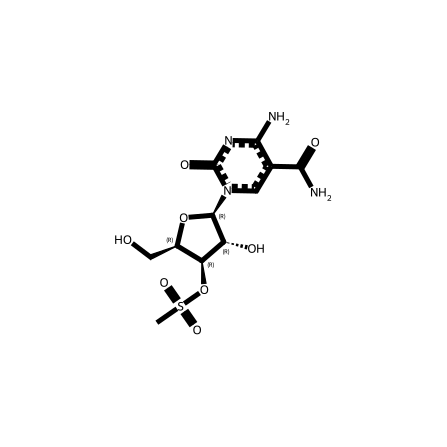 CS(=O)(=O)O[C@@H]1[C@@H](O)[C@H](n2cc(C(N)=O)c(N)nc2=O)O[C@@H]1CO